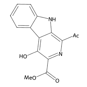 COC(=O)c1nc(C(C)=O)c2[nH]c3ccccc3c2c1O